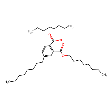 CCCCCCCC.CCCCCCCCOC(=O)c1cc(CCCCCCCC)ccc1C(=O)O